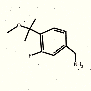 COC(C)(C)c1ccc(CN)cc1F